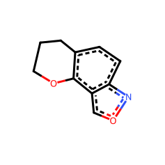 c1cc2nocc2c2c1CCCO2